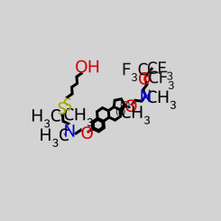 CN(CCO[C@H]1CCC2C3CCc4cc(OCCN(C)CCC(C)(C)SSCCCCCCO)ccc4C3CC[C@@]21C)CCOC(C(F)(F)F)(C(F)(F)F)C(F)(F)F